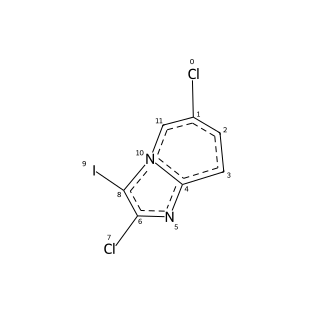 Clc1ccc2nc(Cl)c(I)n2c1